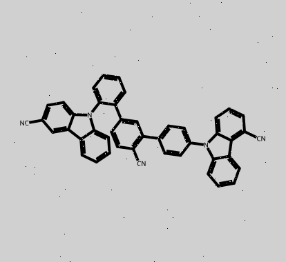 N#Cc1ccc2c(c1)c1ccccc1n2-c1ccccc1-c1ccc(C#N)c(-c2ccc(-n3c4ccccc4c4c(C#N)cccc43)cc2)c1